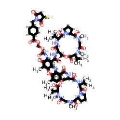 Cc1c2oc3c(C)ccc(C(=O)NC4C(=O)NC(C(C)C)C(=O)N5CCCC5C(=O)N(C)CC(=O)N(C)C(C(C)C)C(=O)OC4C)c3nc-2c(C(=O)NC2C(=O)NC(C(C)C)C(=O)N3CCCC3C(=O)N(C)CC(=O)N(C)C(C(C)C)C(=O)OC2C)c(NC(=O)OCOC(=O)C2CCC(CN3C(=O)CC(S)C3=O)CC2)c1=O